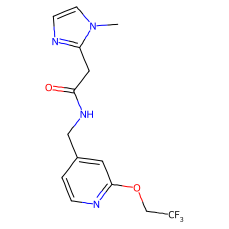 Cn1ccnc1CC(=O)NCc1ccnc(OCC(F)(F)F)c1